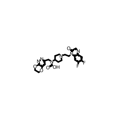 O=C(O)N(Cc1cc2c(nn1)OCCO2)C1CCN(CCn2c(=O)cnc3cc(F)c(F)cc32)CC1